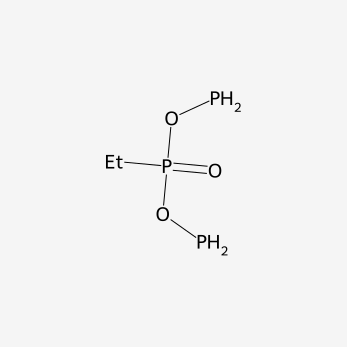 CCP(=O)(OP)OP